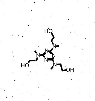 CN(CCO)c1nc(N(C)CCO)nc(N(C)CCO)n1